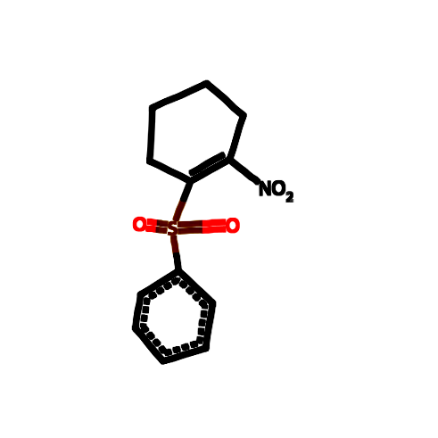 O=[N+]([O-])C1=C(S(=O)(=O)c2ccccc2)CCCC1